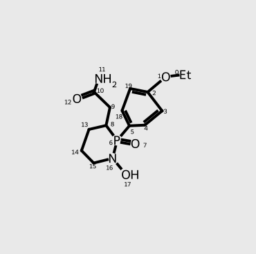 CCOc1ccc(P2(=O)C(CC(N)=O)CCCN2O)cc1